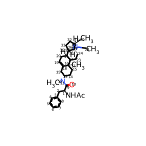 CC(=O)N[C@@H](Cc1ccccc1)C(=O)N(C)[C@H]1CC[C@@]2(C)C(=CC[C@@H]3C2CC[C@]24CN(C)[C@@H](C)[C@H]2CC[C@@H]34)C1